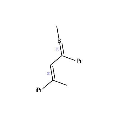 C/B=C(\C=C(/C)C(C)C)C(C)C